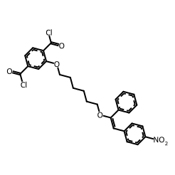 O=C(Cl)c1ccc(C(=O)Cl)c(OCCCCCCOC(=Cc2ccc([N+](=O)[O-])cc2)c2ccccc2)c1